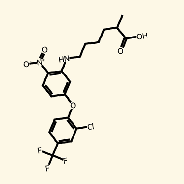 CC(CCCCNc1cc(Oc2ccc(C(F)(F)F)cc2Cl)ccc1[N+](=O)[O-])C(=O)O